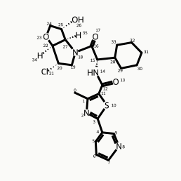 Cc1nc(-c2cccnc2)sc1C(=O)N[C@H](C(=O)N1C[C@H](Cl)[C@H]2OC[C@H](O)[C@H]21)C1CCCCC1